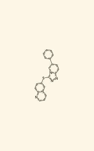 c1ccc(-c2ccc3nnc(Sc4ccc5ncccc5c4)n3c2)cc1